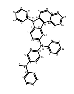 CN(c1ccccc1)c1ccc(N(c2ccccc2)c2ccc3c(c2)c2c4ccccc4ccc2n3-c2ccccc2)cc1